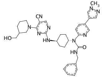 Cn1cc(-c2ccc(N(C(=O)NCc3ccccc3)[C@H]3CC[C@H](Nc4ncc(C#N)c(N5CCCC(CO)C5)n4)CC3)nc2)cn1